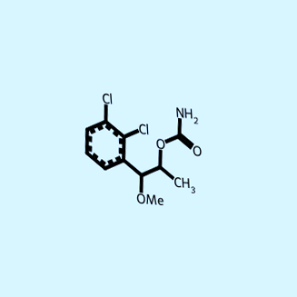 COC(c1cccc(Cl)c1Cl)C(C)OC(N)=O